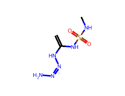 C=C(N/N=N\N)NS(=O)(=O)NC